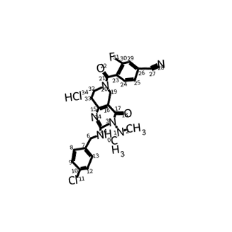 CN(C)n1c(NCc2ccc(Cl)cc2)nc2c(c1=O)CN(C(=O)c1ccc(C#N)cc1F)CC2.Cl